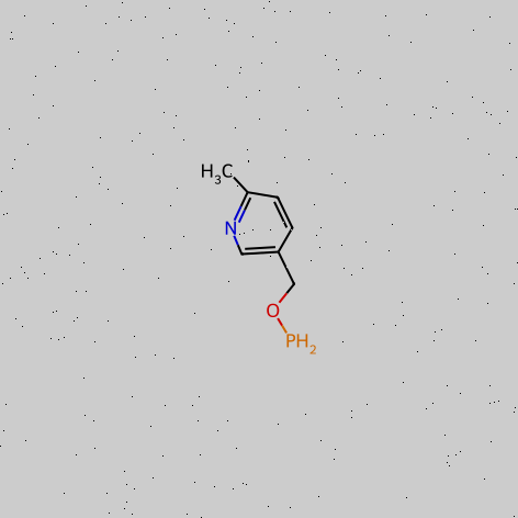 Cc1ccc(COP)cn1